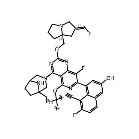 [2H]C([2H])([2H])Oc1nc(-c2cc(O)cc3ccc(F)c(C#C)c23)c(F)c2nc(OC[C@@]34CCCN3C/C(=C/F)C4)nc(N3CC4CCC(CC)(C3)N4)c12